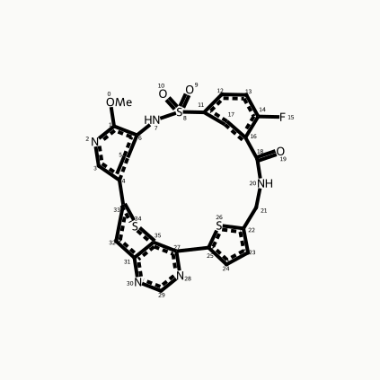 COc1ncc2cc1NS(=O)(=O)c1ccc(F)c(c1)C(=O)NCc1ccc(s1)-c1ncnc3cc-2sc13